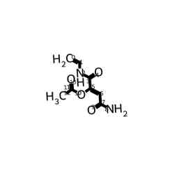 C=CNC(=O)C(=CC(N)=O)OC(C)=O